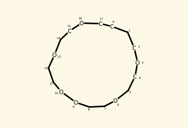 C1CCOCCOCCOOCCOCCOC1